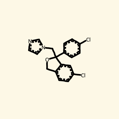 Clc1ccc(C2(Cn3ccnc3)OCc3ccc(Cl)cc32)cc1